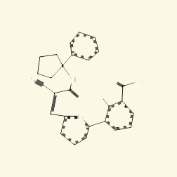 N#CC(=Cc1cccc(-c2cccc(C(=O)O)c2F)n1)C(=O)NC1(c2ccccc2)CCCC1